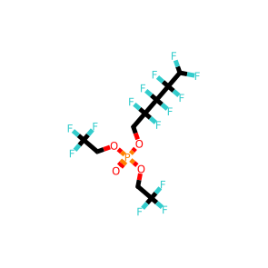 O=P(OCC(F)(F)F)(OCC(F)(F)F)OCC(F)(F)C(F)(F)C(F)(F)C(F)F